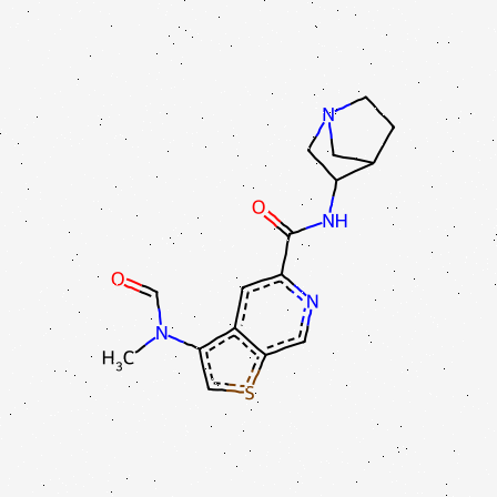 CN(C=O)c1csc2cnc(C(=O)NC3CN4CCC3C4)cc12